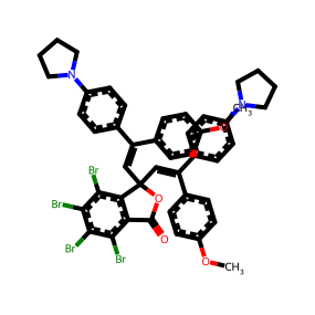 COc1ccc(/C(=C\C2(/C=C(\c3ccc(OC)cc3)c3ccc(N4CCCC4)cc3)OC(=O)c3c(Br)c(Br)c(Br)c(Br)c32)c2ccc(N3CCCC3)cc2)cc1